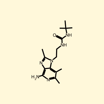 Cc1nc(N)c2nc(C)n(CCNC(=O)NC(C)(C)C)c2c1C